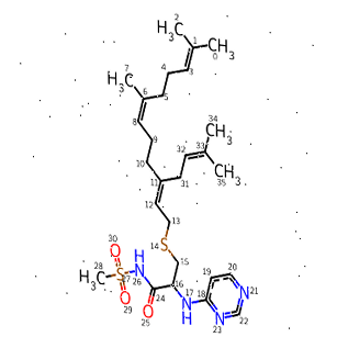 CC(C)=CCCC(C)=CCCC(=CCSCC(Nc1ccncn1)C(=O)NS(C)(=O)=O)CC=C(C)C